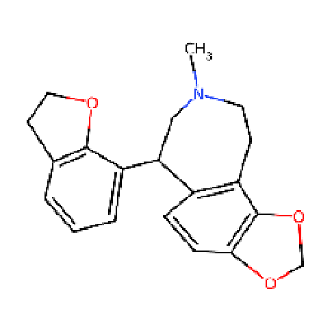 CN1CCc2c(ccc3c2OCO3)C(c2cccc3c2OCC3)C1